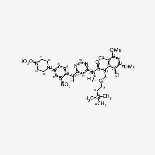 COc1cc(OC)c(Cl)c(N(COCC[Si](C)(C)C)C(=O)N(C)c2cc(Nc3ccc(N4CCN(C(=O)O)CC4)cc3[N+](=O)[O-])ncn2)c1Cl